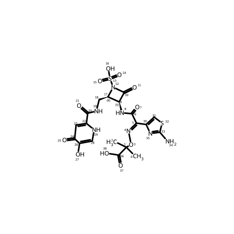 CC(C)(ON=C(C(=O)N[C@@H]1C(=O)N(S(=O)(=O)O)[C@@H]1CNC(=O)c1cc(=O)c(O)c[nH]1)c1csc(N)n1)C(=O)O